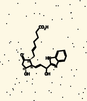 O=C(O)CCCC=CC[C@H]1C(=O)C[C@@H](O)[C@@H]1C=CC(O)c1nc2ccccc2[nH]1